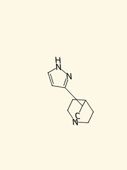 c1cc(C2CN3CCC2CC3)n[nH]1